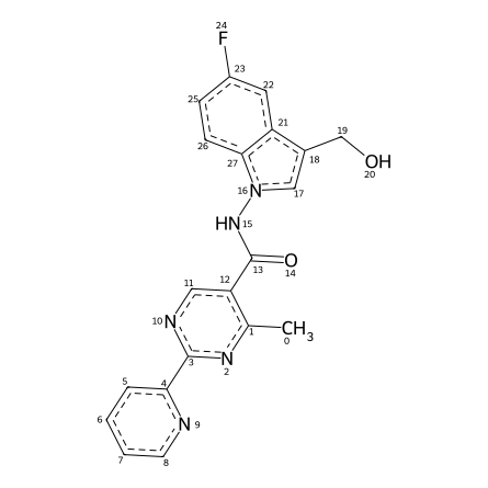 Cc1nc(-c2ccccn2)ncc1C(=O)Nn1cc(CO)c2cc(F)ccc21